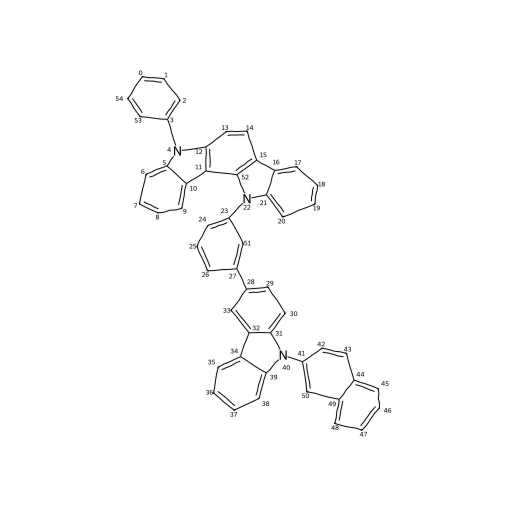 c1ccc(-n2c3ccccc3c3c2ccc2c4ccccc4n(-c4cccc(-c5ccc6c(c5)c5ccccc5n6-c5ccc6ccccc6c5)c4)c23)cc1